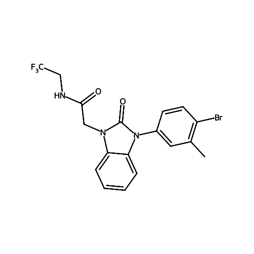 Cc1cc(-n2c(=O)n(CC(=O)NCC(F)(F)F)c3ccccc32)ccc1Br